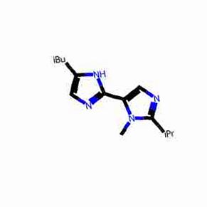 CCC(C)c1cnc(-c2cnc(C(C)C)n2C)[nH]1